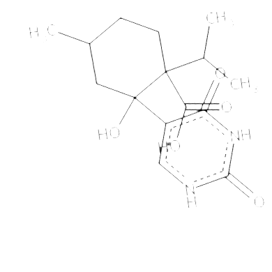 CC1CCC(C(=O)O)(C(C)C)C(O)(c2c[nH]c(=O)[nH]c2=O)C1